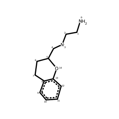 NCC[N]CC1CCc2ccccc2O1